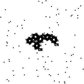 N#CC1=CC2c3cc4c(cc3SC2C=C1)sc1ccc(-c2cc(C#N)ccc2-n2c3ccccc3c3ccccc32)cc14